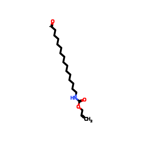 C=CCOC(=O)NCCCCCCCCCCCCCCC[C]=O